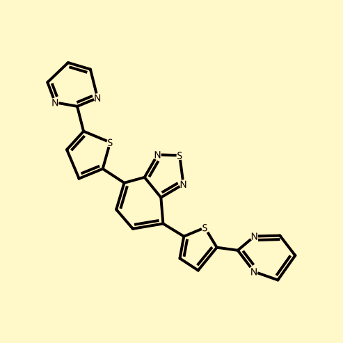 c1cnc(-c2ccc(-c3ccc(-c4ccc(-c5ncccn5)s4)c4nsnc34)s2)nc1